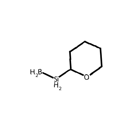 B[SiH2]C1CCCCO1